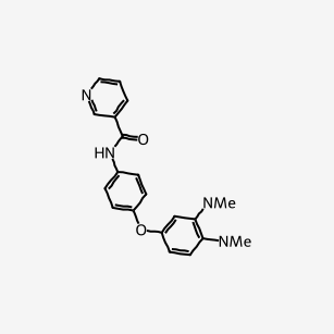 CNc1ccc(Oc2ccc(NC(=O)c3cccnc3)cc2)cc1NC